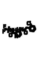 CC(C)(NC(=O)c1cc(NC(=O)Cc2ccccc2Cl)ccn1)C(F)F